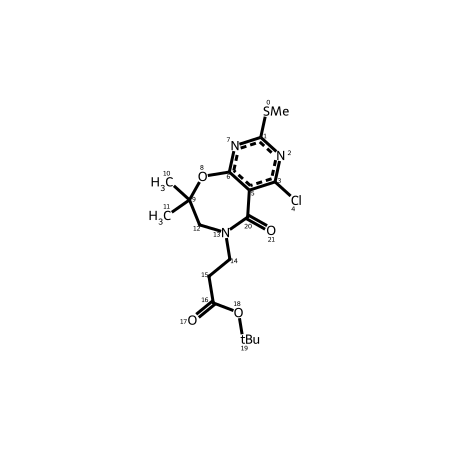 CSc1nc(Cl)c2c(n1)OC(C)(C)CN(CCC(=O)OC(C)(C)C)C2=O